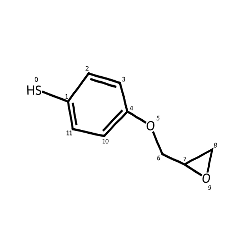 Sc1ccc(OCC2CO2)cc1